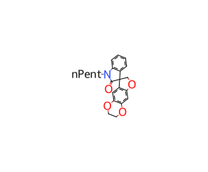 CCCCCN1C(=O)C2(COc3cc4c(cc32)OCCO4)c2ccccc21